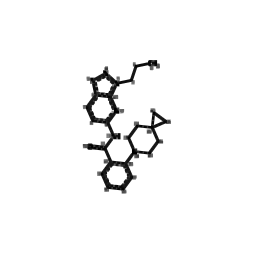 CCCn1nnc2ccc(NC(=O)c3ccccc3N3CCC4(CC3)CC4)nc21